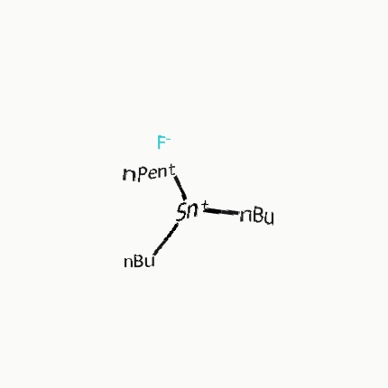 CCCC[CH2][Sn+]([CH2]CCC)[CH2]CCC.[F-]